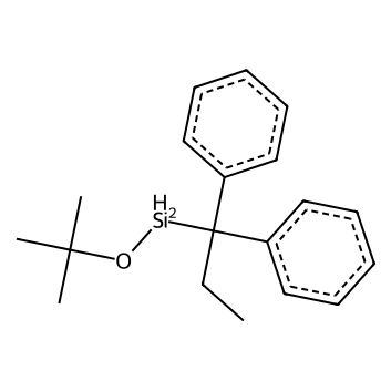 CCC([SiH2]OC(C)(C)C)(c1ccccc1)c1ccccc1